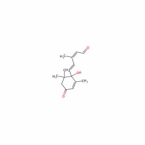 CC1=CC(=O)CC(C)(C)C1(O)/C=C/C(C)=C\C=O